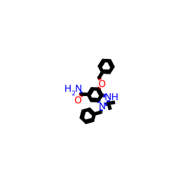 CC1(C)Nc2c(OCc3ccccc3)cc(C(N)=O)cc2N1Cc1ccccc1